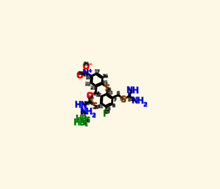 Br.Br.N=C(N)SCc1cc(F)ccc1Sc1ccc([N+](=O)[O-])cc1COC(=S)NN